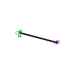 O=C=NCCCCCCCCCCCCCCCCCCCCCCCCCCCCCCCCCC[SiH](Cl)Cl